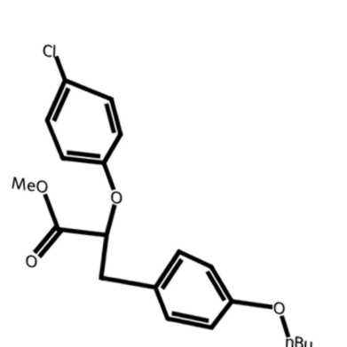 CCCCOc1ccc(CC(Oc2ccc(Cl)cc2)C(=O)OC)cc1